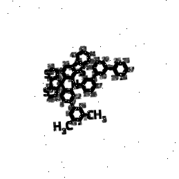 Cc1cc(C)cc(-c2ccc3c(c2)N(c2cccc(-c4cccc(-c5ccccc5)c4)c2)c2c(ccc4c2sc2ccccc24)C32c3ccsc3-c3sccc32)c1